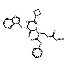 N=CC(=O)CC[C@H](NC(=O)[C@H](Cc1c[nH]c2ccccc12)NC(=O)C1CCC1)C(=O)Nc1ccccc1